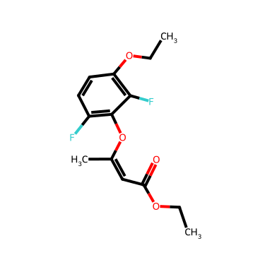 CCOC(=O)/C=C(/C)Oc1c(F)ccc(OCC)c1F